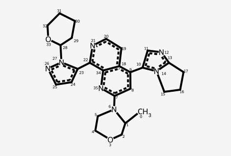 CC1COCCN1c1cc(-c2cnc3n2CCC3)c2ccnc(-c3ccnn3C3CCCCO3)c2n1